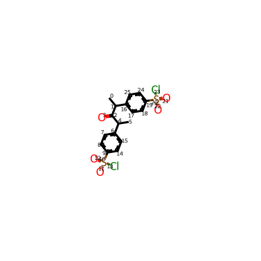 CC(C(=O)C(C)c1ccc(S(=O)(=O)Cl)cc1)c1ccc(S(=O)(=O)Cl)cc1